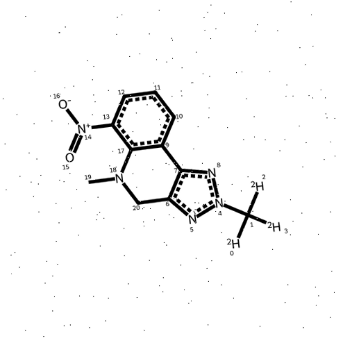 [2H]C([2H])([2H])n1nc2c(n1)-c1cccc([N+](=O)[O-])c1N(C)C2